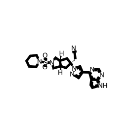 N#CC[C@@]1(n2cc(-c3ncnc4[nH]ccc34)cn2)C[C@H]2CN(S(=O)(=O)N3CCCCC3)C[C@H]2C1